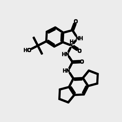 CC(C)(O)c1ccc2c(c1)[SH](=O)(NC(=O)Nc1c3c(cc4c1CCC4)CCC3)NC2=O